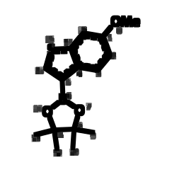 COc1ccc2c(B3OC(C)(C)C(C)(C)O3)csc2c1